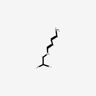 N/C=C/C=C/OCC(F)F